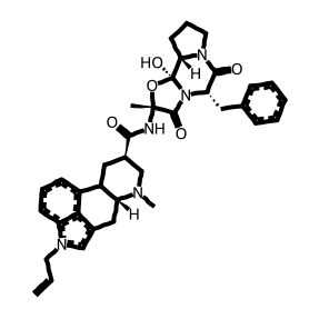 C=CCn1cc2c3c(cccc31)C1C[C@@H](C(=O)N[C@]3(C)O[C@@]4(O)[C@@H]5CCCN5C(=O)[C@H](Cc5ccccc5)N4C3=O)CN(C)[C@@H]1C2